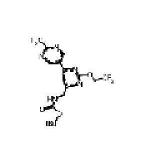 CC(C)(C)OC(=O)NCc1cc(-c2cnc(C(F)(F)F)nc2)nc(OCC(F)(F)F)n1